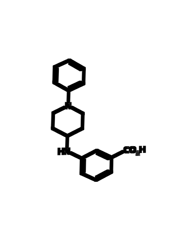 O=C(O)c1cccc(NC2CCN(c3ccccc3)CC2)c1